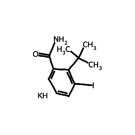 CC(C)(C)c1c(I)cccc1C(N)=O.[KH]